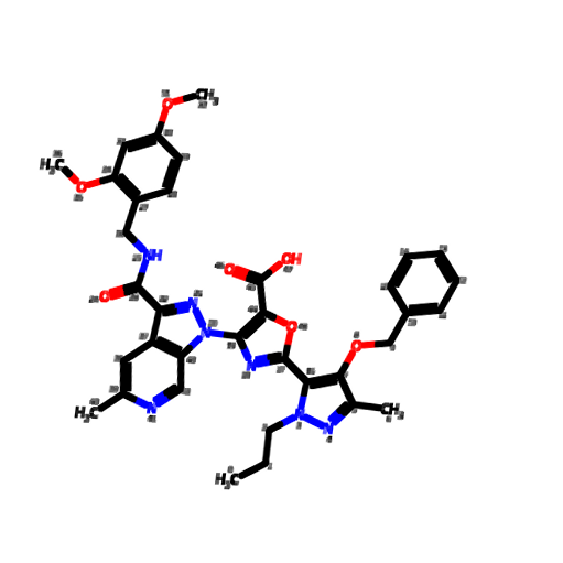 CCCn1nc(C)c(OCc2ccccc2)c1-c1nc(-n2nc(C(=O)NCc3ccc(OC)cc3OC)c3cc(C)ncc32)c(C(=O)O)o1